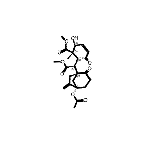 C=C1C[C@]2([C@@H](C(=O)OC)[C@H]3C(=O)C=C[C@H](O)[C@@]3(C)C(=O)OC)C[C@@]1(OC(C)=O)CCC2=O